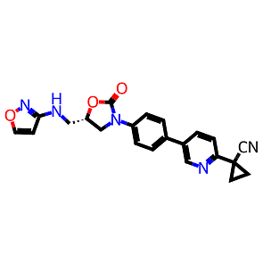 N#CC1(c2ccc(-c3ccc(N4C[C@H](CNc5ccon5)OC4=O)cc3)cn2)CC1